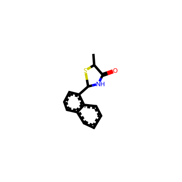 CC1SC(c2cccc3ccccc23)NC1=O